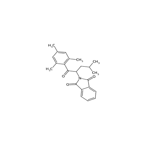 Cc1cc(C)c(C(=O)C(CC(C)C)N2C(=O)c3ccccc3C2=O)c(C)c1